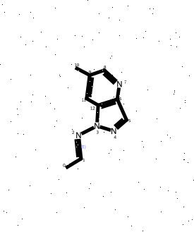 C/C=N/n1ncc2ncc(C)cc21